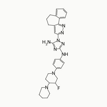 Nc1nc(Nc2ccc(N3CCC(N4CCCCC4)C(F)C3)cc2)nn1-c1cc2c(nn1)-c1ccccc1CCC2